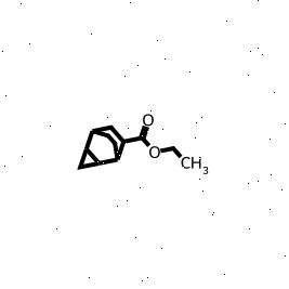 CCOC(=O)C1CC2CCC1C1CC21